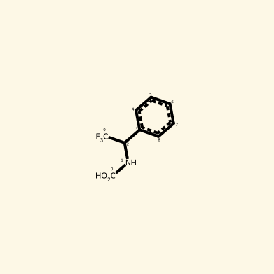 O=C(O)NC(c1ccccc1)C(F)(F)F